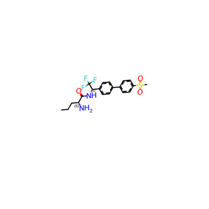 CCC[C@H](N)C(=O)N[C@@H](c1ccc(-c2ccc(S(C)(=O)=O)cc2)cc1)C(F)(F)F